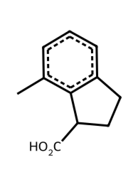 Cc1cccc2c1C(C(=O)O)CC2